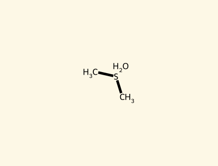 CSC.O